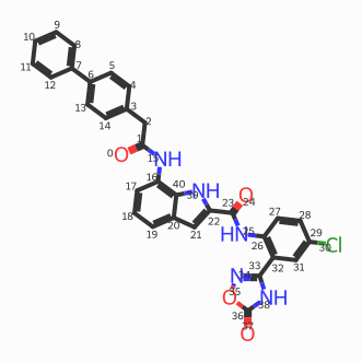 O=C(Cc1ccc(-c2ccccc2)cc1)Nc1cccc2cc(C(=O)Nc3ccc(Cl)cc3-c3noc(=O)[nH]3)[nH]c12